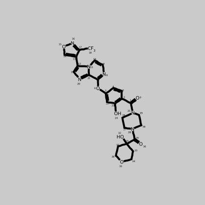 O=C(c1ccc(Oc2nccn3c(-c4conc4C(F)(F)F)cnc23)cc1O)N1CCN(C(=O)C2(O)CCOCC2)CC1